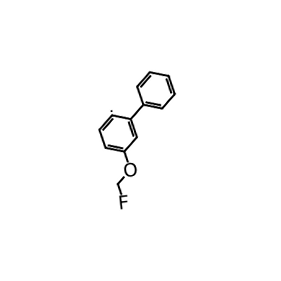 FCOc1cc[c]c(-c2ccccc2)c1